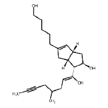 CC#CCC(C)CC=C(O)[C@@H]1[C@@H]2CC(CCCCCO)=C[C@@H]2C[C@H]1O